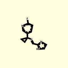 Fc1ccc(C2(N=Cc3ncc[nH]3)CC2)cn1